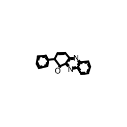 O=C1c2nc3ccccc3nc2C=CC1c1ccccc1